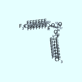 FC(CC(F)(F)C(F)(F)C(F)(F)C(F)(F)C(F)(F)C(F)(F)C(F)(F)C(F)(F)F)OCC1(COC(F)CC(F)(F)C(F)(F)C(F)(F)C(F)(F)C(F)(F)C(F)(F)C(F)(F)C(F)(F)F)COC1